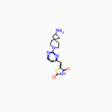 NC1CC2(CCN(c3nccc(/C=C4\SC(=O)NC4=O)n3)CC2)C1